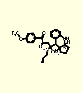 C=CCNC(CC(=O)C(=O)c1ccc(OC(F)(F)F)cc1)(C(=O)O)C1c2ccccc2N[C@@H]2CCC[C@H]12